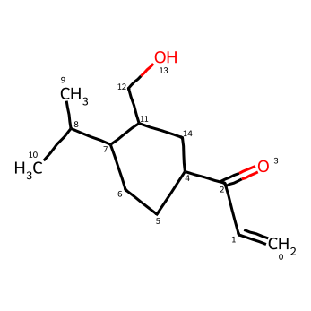 C=CC(=O)C1CCC(C(C)C)C(CO)C1